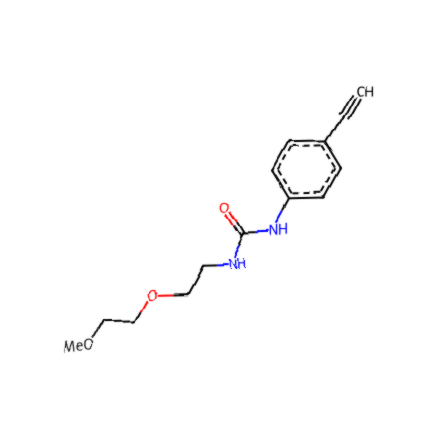 C#Cc1ccc(NC(=O)NCCOCCOC)cc1